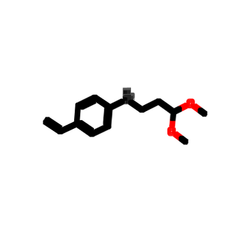 C=Cc1ccc([SiH2]CCC(OC)OC)cc1